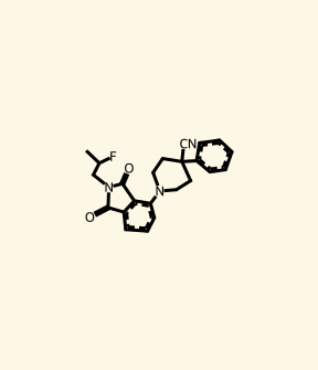 CC(F)CN1C(=O)c2cccc(N3CCC(C#N)(c4ccccc4)CC3)c2C1=O